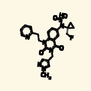 Cn1cc(Cn2c(=O)c3cc(N([SH](=O)=O)C4(CF)CC4)ccc3n(CCc3ccccn3)c2=O)cn1